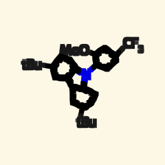 COc1cc(C(F)(F)F)ccc1-n1c2ccc(C(C)(C)C)cc2c2cc(C(C)(C)C)ccc21